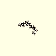 CC1=NN(c2ccc(C(F)(F)F)cc2)C(=O)/C1=C(/C)NNC(=O)c1ccc(C(=O)N2CCCC2)s1